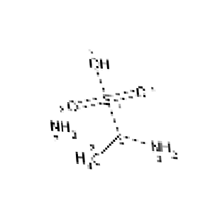 CC(N)S(=O)(=O)O.N